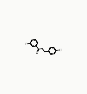 O=C(CCc1ccc(Cl)cc1)c1cccc(F)c1